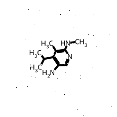 CNc1ncc(N)c(C(C)C)c1C